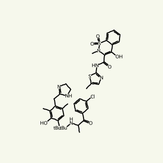 CC(NC(C)(C)C)C(=O)c1cccc(Cl)c1.Cc1cc(C(C)(C)C)c(O)c(C)c1CC1=NCCN1.Cc1cnc(NC(=O)C2=C(O)c3ccccc3S(=O)(=O)N2C)s1